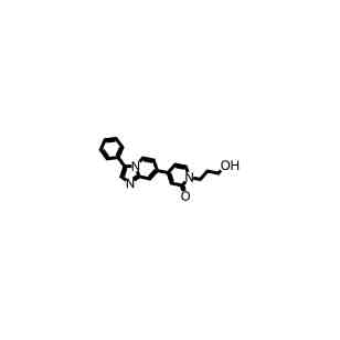 O=c1cc(-c2ccn3c(-c4ccccc4)cnc3c2)ccn1CCCO